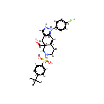 CC(C)(C)c1ccc(S(=O)(=O)N2CCC3=Cc4c(cnn4-c4ccc(F)cc4)CC3(C=O)C2)cc1